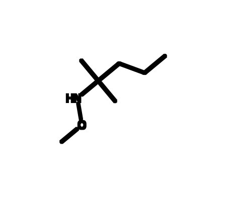 CCCC(C)(C)NOC